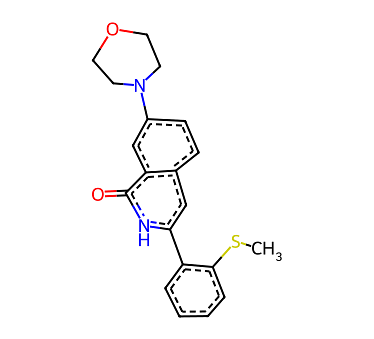 CSc1ccccc1-c1cc2ccc(N3CCOCC3)cc2c(=O)[nH]1